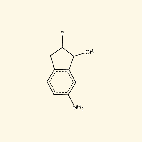 Nc1ccc2c(c1)C(O)C(F)C2